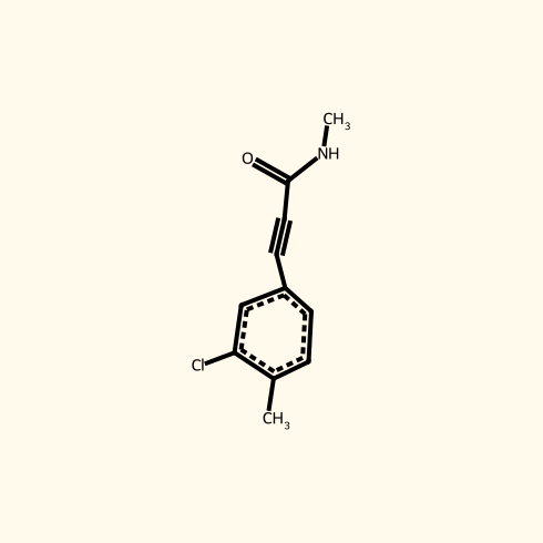 CNC(=O)C#Cc1ccc(C)c(Cl)c1